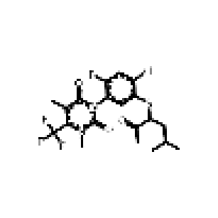 CC(=O)C(CC(C)C)Sc1cc(-n2c(=O)c(C)c(C(F)(F)F)n(C)c2=O)c(F)cc1Cl